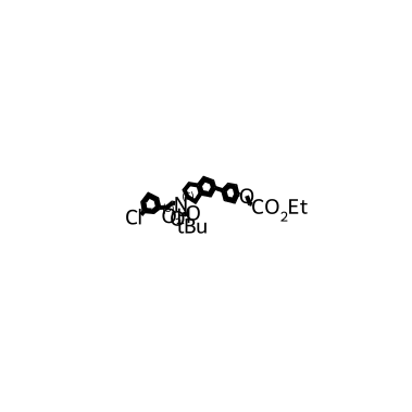 CCOC(=O)COc1ccc(-c2ccc3c(c2)C[C@@H](N(C[C@@H](O)c2cccc(Cl)c2)C(=O)OC(C)(C)C)CC3)cc1